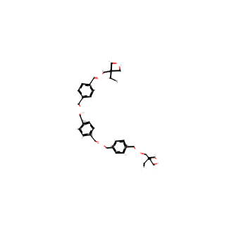 CCC1(COCc2ccc(COCc3ccc(COCc4ccc(COCC5(CC)COC5)cc4)cc3)cc2)COC1